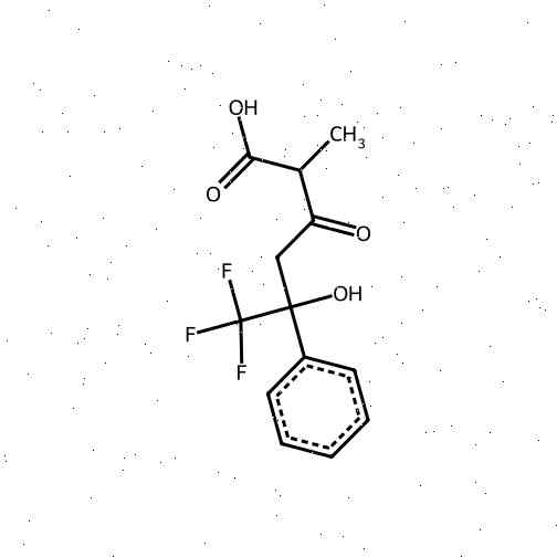 CC(C(=O)O)C(=O)CC(O)(c1ccccc1)C(F)(F)F